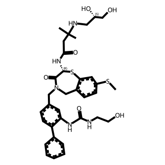 CSc1ccc2c(c1)S[C@@H](NC(=O)CC(C)(C)NC[C@H](O)CO)C(=O)N(Cc1ccc(-c3ccccc3)c(NC(=O)NCCO)c1)C2